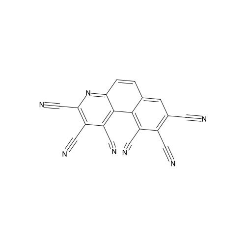 N#Cc1cc2ccc3nc(C#N)c(C#N)c(C#N)c3c2c(C#N)c1C#N